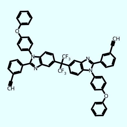 C#Cc1cccc(-c2nc3cc(C(c4ccc5c(c4)nc(-c4cccc(C#C)c4)n5-c4ccc(Oc5ccccc5)cc4)(C(F)(F)F)C(F)(F)F)ccc3n2-c2ccc(Oc3ccccc3)cc2)c1